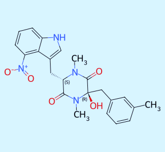 Cc1cccc(C[C@@]2(O)C(=O)N(C)[C@@H](Cc3c[nH]c4cccc([N+](=O)[O-])c34)C(=O)N2C)c1